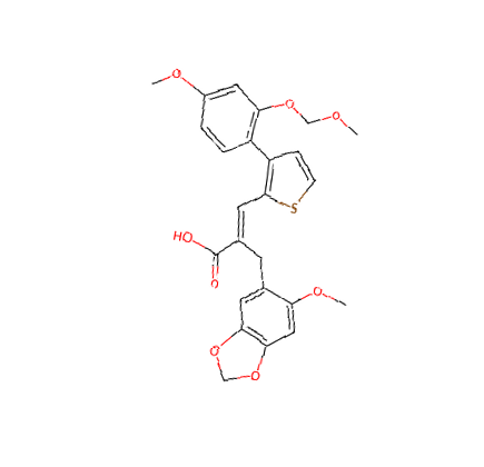 COCOc1cc(OC)ccc1-c1ccsc1/C=C(\Cc1cc2c(cc1OC)OCO2)C(=O)O